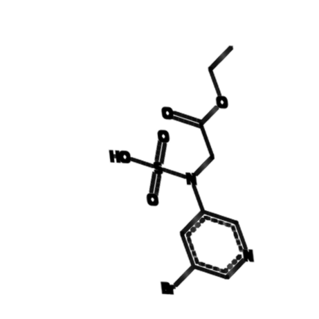 CCOC(=O)CN(c1cncc(Br)c1)S(=O)(=O)O